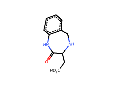 O=C(O)CC1NCc2ccccc2NC1=O